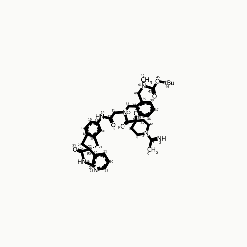 CC(=N)N1CCC(C)(C(=O)N(CC(=O)Nc2ccc3c(c2)C[C@@]2(C3)C(=O)Nc3ncccc32)Cc2ccccc2CN(C)C(=O)OC(C)(C)C)CC1